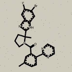 Cc1ccc(-c2ncccn2)c(C(=O)N2CCCC2(C)c2nc3cc(F)c(Br)cc3[nH]2)c1